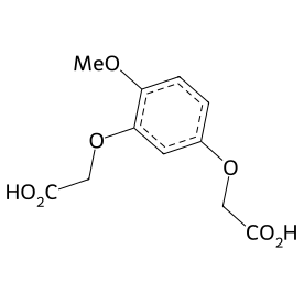 COc1ccc(OCC(=O)O)cc1OCC(=O)O